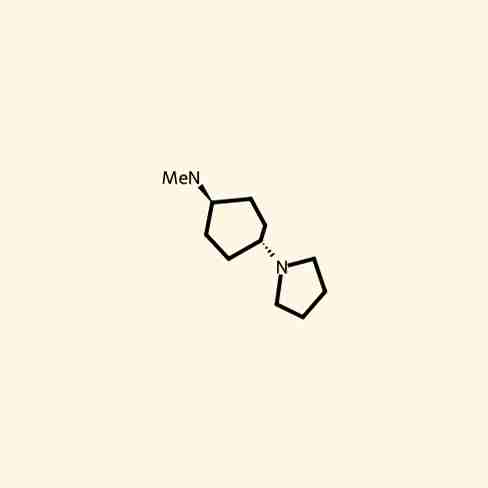 CN[C@H]1CC[C@H](N2CCCC2)CC1